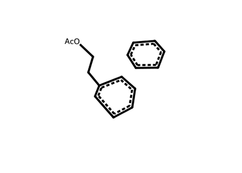 CC(=O)OCCc1ccccc1.c1ccccc1